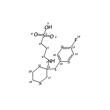 O=S(=O)(O)CCCNC1(Cc2ccc(F)cc2)CCCCC1